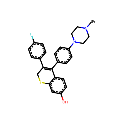 CC(C)N1CCN(c2ccc(C3=C(c4ccc(F)cc4)CSc4cc(O)ccc43)cc2)CC1